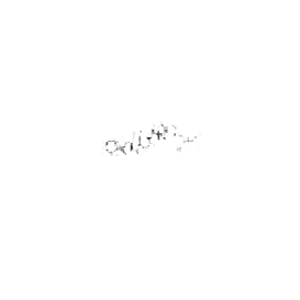 Clc1nc(-n2ccc(OCCC(C3CC3)C3CC3)n2)ccc1NOSc1ccccc1